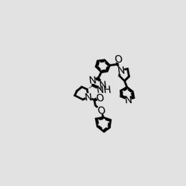 O=C(c1cccc(-c2n[nH]c([C@H]3CCCCN3C(=O)COc3ccccc3)n2)c1)N1CCC(c2ccncc2)C1